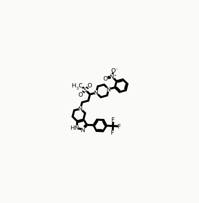 CS(=O)(=O)C(CCN1CCc2[nH]nc(-c3ccc(C(F)(F)F)cc3)c2C1)N1CCN(c2ccccc2[N+](=O)[O-])CC1